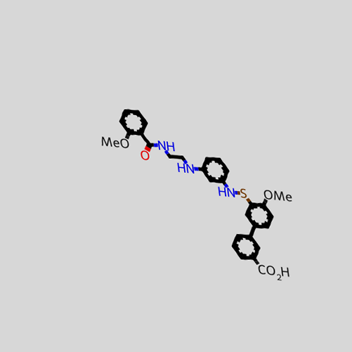 COc1ccc(-c2cccc(C(=O)O)c2)cc1SNc1cccc(NCCNC(=O)c2ccccc2OC)c1